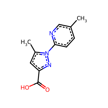 Cc1ccc(-n2nc(C(=O)O)cc2C)nc1